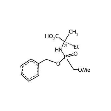 CC[C@](C)(NP(=O)(COC)OCc1ccccc1)C(=O)O